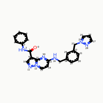 O=C(Nc1ccccc1)c1cnn2ccc(NCc3cccc(Cn4cccn4)c3)nc12